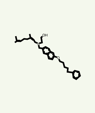 CC(C)=CCCC(C)=CCN(CCO)Cc1ccc2cc(OCCCCCc3ccccc3)ccc2c1